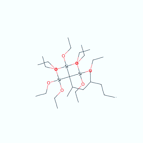 [CH2]CCC(C)CC(C)C([Si](OCC)(OCC)OCC)([Si](OCC)(OCC)OCC)[Si](OCC)(OCC)OCC